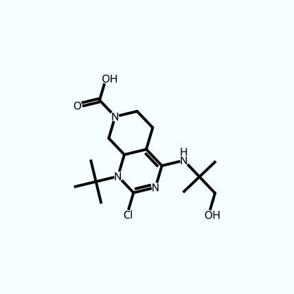 CC(C)(CO)NC1=C2CCN(C(=O)O)CC2N(C(C)(C)C)C(Cl)=N1